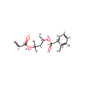 C=CC(=O)OC(C)(C)CC(C)OC(=O)c1ccccc1C